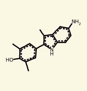 Cc1cc(-c2[nH]c3ccc(N)cc3c2C)cc(C)c1O